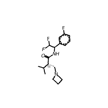 CC(C)[C@@H](CN1CCC1)C(=O)NC(c1cccc(F)c1)C(F)F